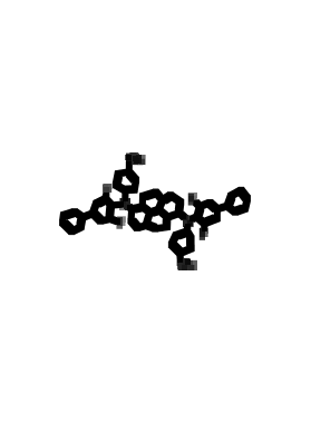 CC(C)(C)c1ccc(N(c2c(F)cc(-c3ccccc3)cc2F)c2ccc3ccc4c(N(c5ccc(C(C)(C)C)cc5)c5c(F)cc(-c6ccccc6)cc5F)ccc5ccc2c3c54)cc1